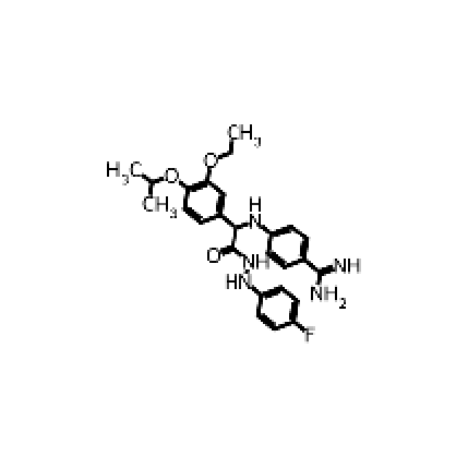 CCOc1cc(C(Nc2ccc(C(=N)N)cc2)C(=O)NNc2ccc(F)cc2)ccc1OC(C)C